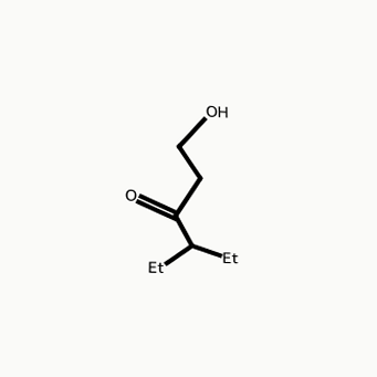 CCC(CC)C(=O)CCO